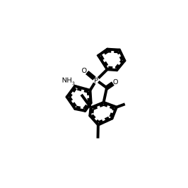 Cc1cc(C)c(C(=O)P(=O)(c2ccccc2)c2ccccc2)c(C)c1.N